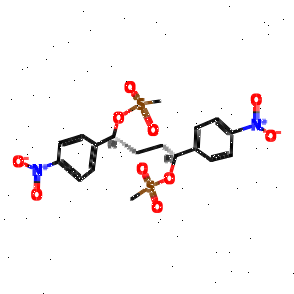 CS(=O)(=O)O[C@H](CC[C@@H](OS(C)(=O)=O)c1ccc([N+](=O)[O-])cc1)c1ccc([N+](=O)[O-])cc1